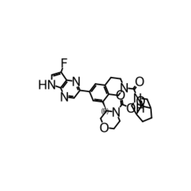 O=C1C2CCC1CN(C(=O)N1CCc3cc(-c4cnc5[nH]cc(F)c5n4)cc([C@@H]4COCCN4C(=O)O)c3C1)C2